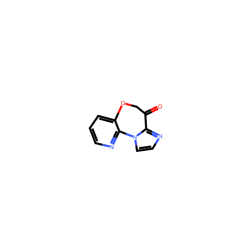 O=C1COc2cccnc2-n2ccnc21